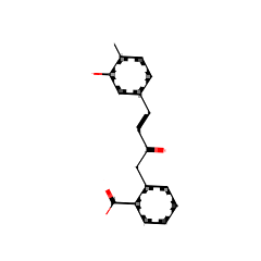 Cc1ccc(/C=C/C(=O)Cc2ccccc2C(=O)O)cc1O